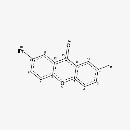 Cc1ccc2oc3ccc(C(C)C)cc3c(=O)c2c1